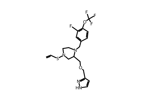 C=CSN1CCN(Cc2ccc(OC(F)(F)F)c(F)c2)C(COCc2cc[nH]n2)C1